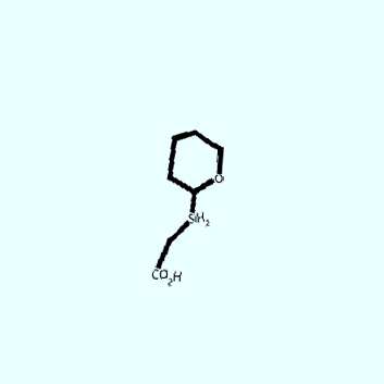 O=C(O)C[SiH2]C1CCCCO1